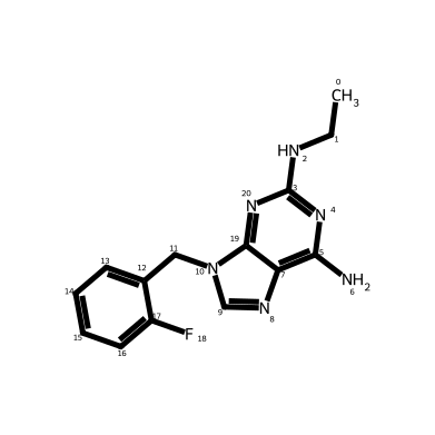 CCNc1nc(N)c2ncn(Cc3ccccc3F)c2n1